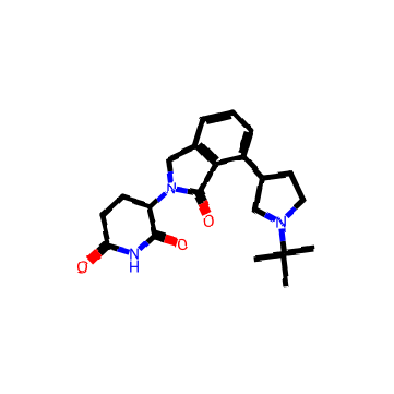 CC(C)(C)N1CCC(c2cccc3c2C(=O)N(C2CCC(=O)NC2=O)C3)C1